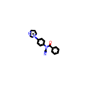 N#CN(C(=O)c1ccccc1)c1ccc(N2CCN3CCC2CC3)cc1